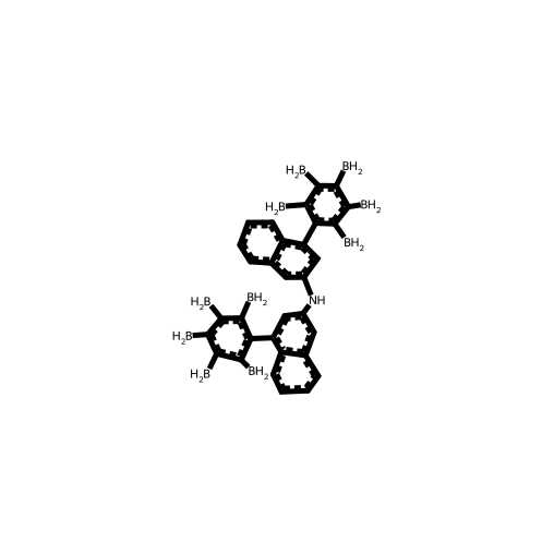 Bc1c(B)c(B)c(-c2cc(Nc3cc(-c4c(B)c(B)c(B)c(B)c4B)c4ccccc4c3)cc3ccccc23)c(B)c1B